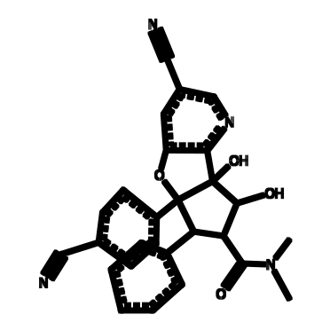 CN(C)C(=O)C1C(O)C2(O)c3ncc(C#N)cc3OC2(c2ccc(C#N)cc2)C1c1ccccc1